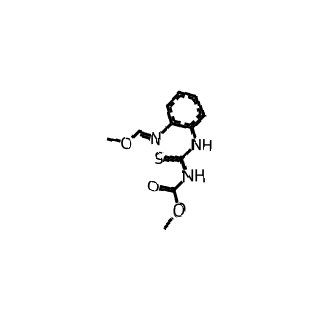 CO/C=N/c1ccccc1NC(=S)NC(=O)OC